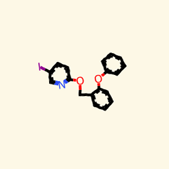 Ic1ccc(OCc2ccccc2Oc2ccccc2)nc1